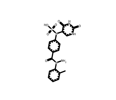 Cc1ccccc1N(N)C(=O)c1ccc(N(c2c[nH]c(=O)[nH]c2=O)S(=O)(=O)O)cc1